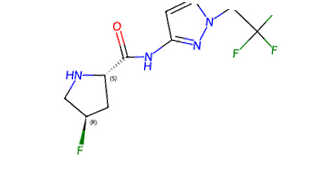 O=C(Nc1ccn(CC(F)(F)F)n1)[C@@H]1C[C@@H](F)CN1